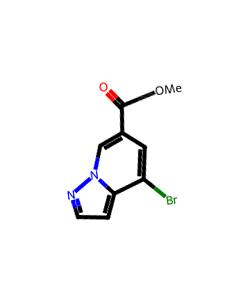 COC(=O)c1cc(Br)c2ccnn2c1